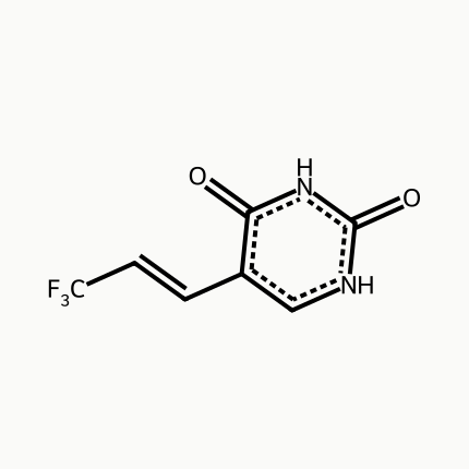 O=c1[nH]cc(/C=C/C(F)(F)F)c(=O)[nH]1